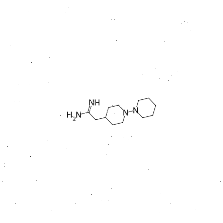 N=C(N)CC1CCN(N2CCCCC2)CC1